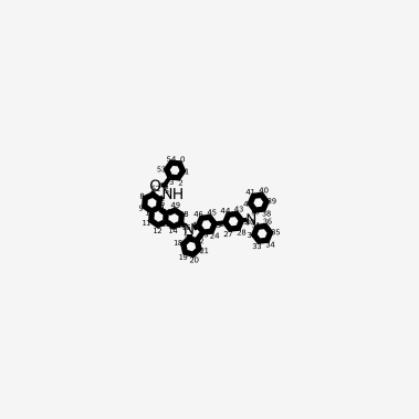 c1ccc(C2Nc3c(ccc4ccc5cc(-n6c7ccccc7c7cc(-c8ccc(N(c9ccccc9)c9ccccc9)cc8)ccc76)ccc5c34)O2)cc1